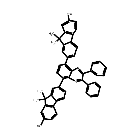 CC(C)(C)c1ccc2c(c1)C(C)(C)c1cc(-c3ccc(-c4ccc5c(c4)C(C)(C)c4cc(C(C)(C)C)ccc4-5)c4nc(-c5ccccc5)c(-c5ccccc5)nc34)ccc1-2